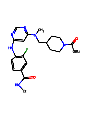 CCNC(=O)c1ccc(Nc2cc(N(C)CC3CCN(C(=O)OCC(C)C)CC3)ncn2)c(F)c1